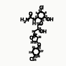 NC(=O)Nc1cc(Cl)cc(O)c1OC[C@@H](O)CN1C[C@@H](Oc2ccc(Cl)cc2)CO1